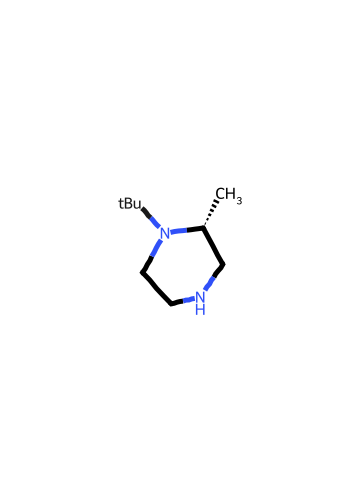 C[C@@H]1CNCCN1C(C)(C)C